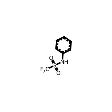 O=S(=O)(Nc1c[c]ccc1)C(F)(F)F